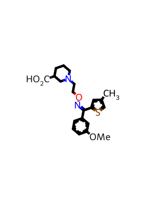 COc1cccc(C(=NOCCN2CCCC(C(=O)O)C2)c2cc(C)cs2)c1